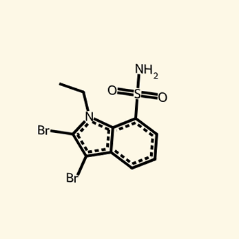 CCn1c(Br)c(Br)c2cccc(S(N)(=O)=O)c21